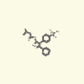 CC(C)CC(=O)Oc1onc(-c2ccccc2)c1-c1ccc(S(N)(=O)=O)cc1